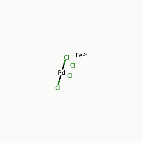 [Cl-].[Cl-].[Cl][Pd][Cl].[Fe+2]